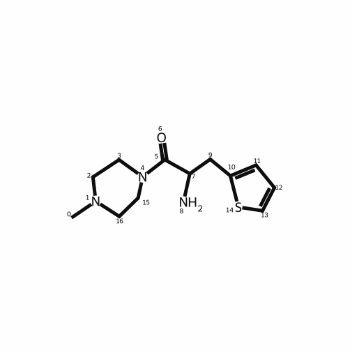 CN1CCN(C(=O)C(N)Cc2cccs2)CC1